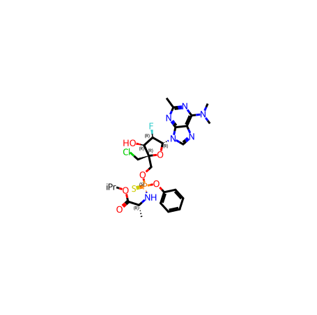 Cc1nc(N(C)C)c2ncn([C@@H]3O[C@](CCl)(CO[P@@](=S)(N[C@H](C)C(=O)OC(C)C)Oc4ccccc4)[C@@H](O)[C@H]3F)c2n1